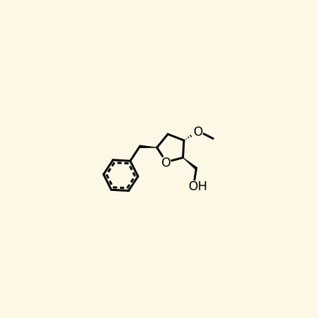 CO[C@H]1C[C@H](Cc2ccccc2)O[C@@H]1CO